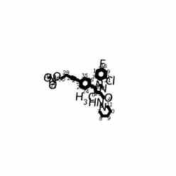 Cc1c(C(=O)NN2CCCCC2)nn(-c2ccc(F)cc2Cl)c1-c1ccc(C#CCCO[N+](=O)[O-])cc1